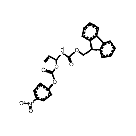 C=CC(NC(=O)OCC1c2ccccc2-c2ccccc21)OC(=O)Oc1ccc([N+](=O)[O-])cc1